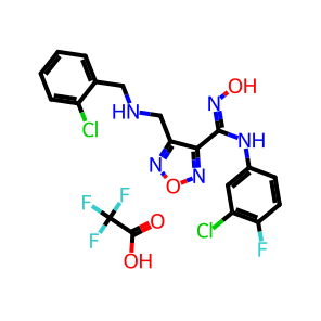 O/N=C(\Nc1ccc(F)c(Cl)c1)c1nonc1CNCc1ccccc1Cl.O=C(O)C(F)(F)F